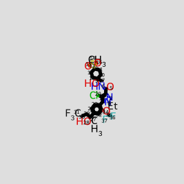 CCn1nc(C(=O)NCC2(O)CCC(S(C)(=O)=O)CC2)c(Cl)c1-c1ccc(C(C)(O)CCC(F)(F)F)cc1OC(F)F